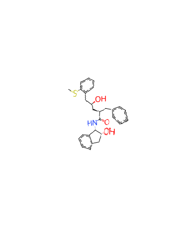 CSc1ccccc1C[C@@H](O)C[C@@H](Cc1ccccc1)C(=O)N[C@H]1c2ccccc2C[C@H]1O